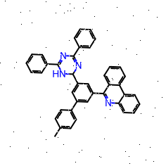 Cc1ccc(-c2cc(-c3nc4ccccc4c4ccccc34)cc(C3N=C(c4ccccc4)N=C(c4ccccc4)N3)c2)cc1